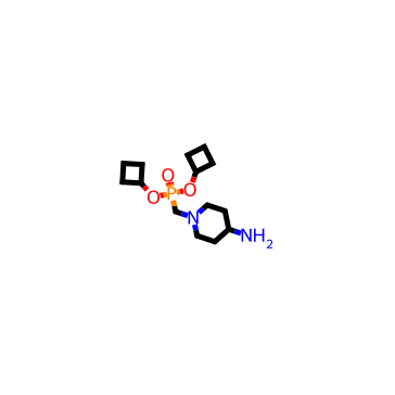 NC1CCN(CP(=O)(OC2CCC2)OC2CCC2)CC1